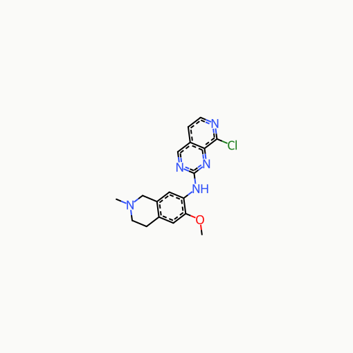 COc1cc2c(cc1Nc1ncc3ccnc(Cl)c3n1)CN(C)CC2